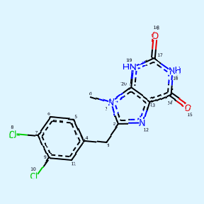 Cn1c(Cc2ccc(Cl)c(Cl)c2)nc2c(=O)[nH]c(=O)[nH]c21